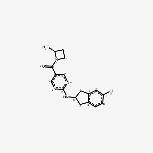 C[C@H]1CCN1C(=O)c1cnc(NC2Cc3ccc(Cl)cc3C2)nc1